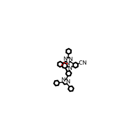 N#Cc1ccc(-n2c3ccccc3c3cc(-c4nc(-c5ccccc5)cc(-c5ccccc5)n4)ccc32)c(-c2nc(-c3ccccc3)nc(-c3ccccc3)n2)c1